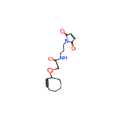 O=C(COC1C#CCCCCC1)NCCCN1C(=O)C=CC1=O